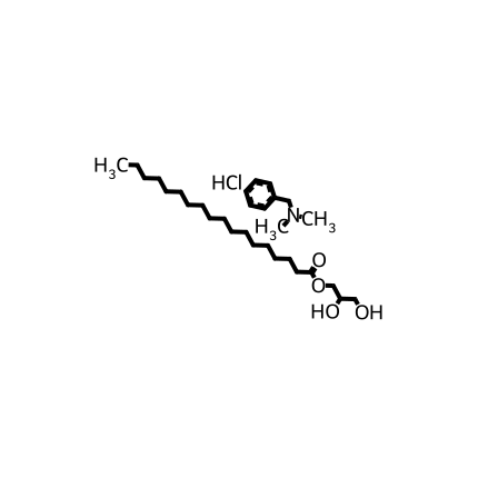 CCCCCCCCCCCCCCCCCC(=O)OCC(O)CO.CN(C)Cc1ccccc1.Cl